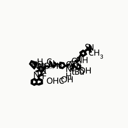 Cc1ncsc1-c1ccc(CNC(=O)[C@@H]2C[C@@H](O)CN2C(=O)[C@@H](NC(=O)C2CCN([C@H]3C[C@@H](COc4nc(N5CC6CCC(C5)N6)c5cnc(-c6cccc7ccccc67)c(F)c5n4)N(C)C3)CC2)C(C)(C)C)cc1.O=CO